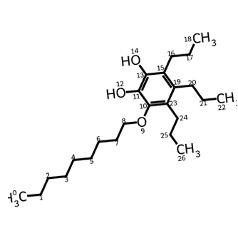 CCCCCCCCCOc1c(O)c(O)c(CCC)c(CCC)c1CCC